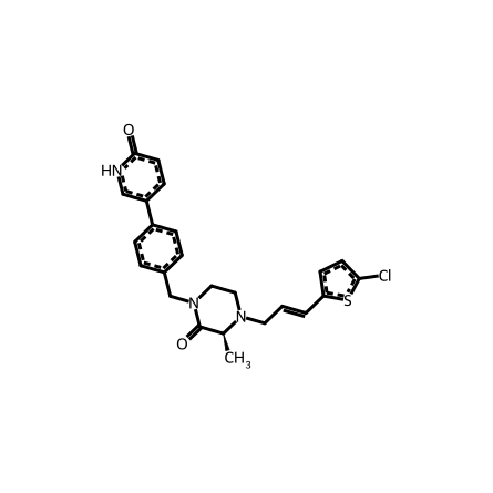 C[C@H]1C(=O)N(Cc2ccc(-c3ccc(=O)[nH]c3)cc2)CCN1CC=Cc1ccc(Cl)s1